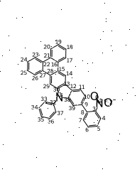 O=[N+]([O-])c1ccccc1-c1ccc2c3cc4c5ccccc5c5ccccc5c4cc3n(-c3ccccc3)c2c1